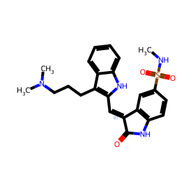 CNS(=O)(=O)c1ccc2c(c1)/C(=C\c1[nH]c3ccccc3c1CCCN(C)C)C(=O)N2